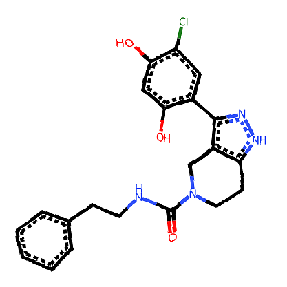 O=C(NCCc1ccccc1)N1CCc2[nH]nc(-c3cc(Cl)c(O)cc3O)c2C1